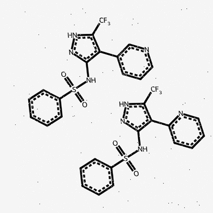 O=S(=O)(Nc1n[nH]c(C(F)(F)F)c1-c1ccccn1)c1ccccc1.O=S(=O)(Nc1n[nH]c(C(F)(F)F)c1-c1cccnc1)c1ccccc1